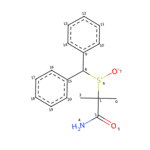 CC(C)(C(N)=O)[S+]([O-])C(c1ccccc1)c1ccccc1